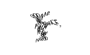 COC(=O)NCC(=O)N1CCC[C@H]1c1nc2cc(F)c([C@H]3CC[C@H](c4cc5[nH]c([C@@H]6CCCN6C(=O)C(NC(=O)OC)C6CCOCC6)nc5cc4F)N3c3cc(F)c(N4CCN(c5ccc(C(F)(F)F)cc5)CC4)c(F)c3)cc2[nH]1